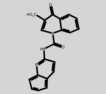 O=C(O)c1cn(C(=O)Nc2ccc3ccccc3n2)c2ccccc2c1=O